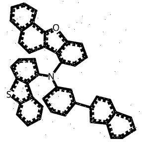 c1cc(-c2ccc3ccccc3c2)cc(N(c2cccc3oc4c5ccccc5ccc4c23)c2cccc3sc4ccccc4c23)c1